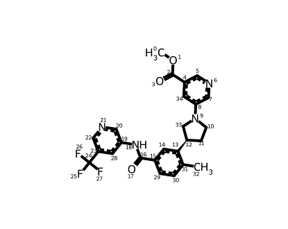 COC(=O)c1cncc(N2CC[C@@H](c3cc(C(=O)Nc4cncc(C(F)(F)F)c4)ccc3C)C2)c1